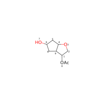 CC(=O)OC1COC2CC(O)CC21